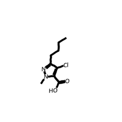 CCCCc1nn(C)c(C(=O)O)c1Cl